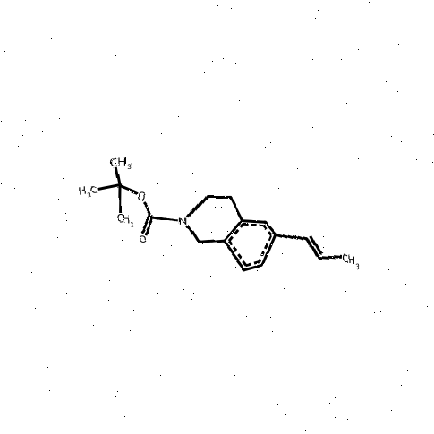 C/C=C/c1ccc2c(c1)CCN(C(=O)OC(C)(C)C)C2